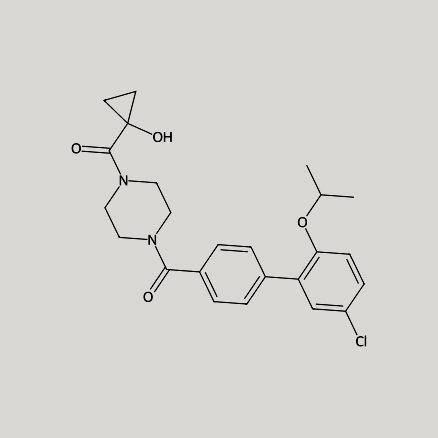 CC(C)Oc1ccc(Cl)cc1-c1ccc(C(=O)N2CCN(C(=O)C3(O)CC3)CC2)cc1